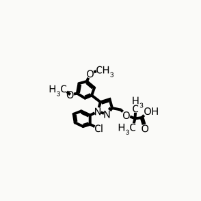 COc1cc(OC)cc(-c2cc(COC(C)(C)C(=O)O)nn2-c2ccccc2Cl)c1